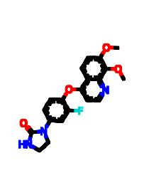 COc1ccc2c(Oc3ccc(N4CCNC4=O)cc3F)ccnc2c1OC